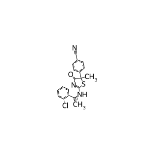 C[C@H](NC1=NC(=O)C(C)(c2ccc(C#N)cc2)S1)c1ccccc1Cl